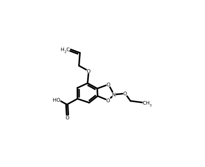 C=CCOc1cc(C(=O)O)cc2c1ON(OCC)O2